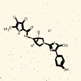 CC(=O)c1ccc(-c2nc(N3C[C@@H]4[C@H](C3)[C@@H]4NC(=O)c3[nH]c(C)c(Cl)c3Cl)sc2C(=O)[O-])cc1.[Li+]